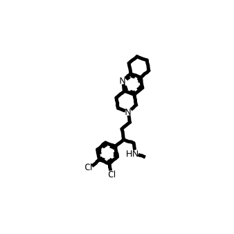 CNCC(CCN1CCc2nc3c(cc2C1)CCCC3)c1ccc(Cl)c(Cl)c1